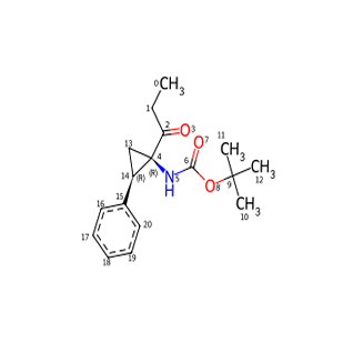 CCC(=O)[C@@]1(NC(=O)OC(C)(C)C)C[C@@H]1c1ccccc1